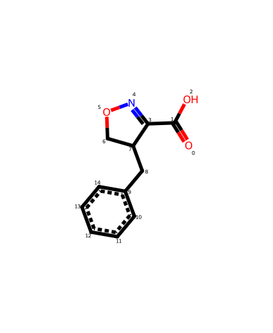 O=C(O)C1=NOCC1Cc1ccccc1